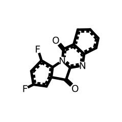 O=C1c2cc(F)cc(F)c2-n2c1nc1ccccc1c2=O